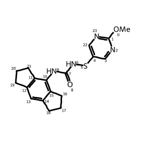 COc1ncc(SNC(=O)Nc2c3c(cc4c2CCC4)CCC3)cn1